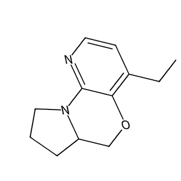 CCc1ccnc2c1OCC1CCCN21